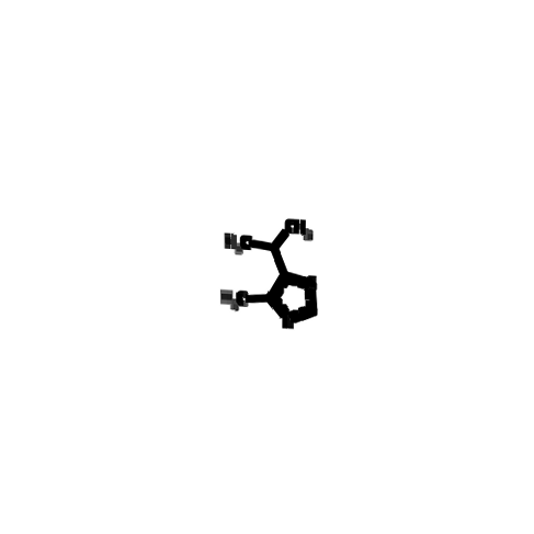 Cc1ncsc1C(C)C